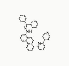 c1ccc(C(=NNc2cccc3c2ccc2c(-c4cccc(-c5ccncc5)n4)cccc23)c2ccccc2)cc1